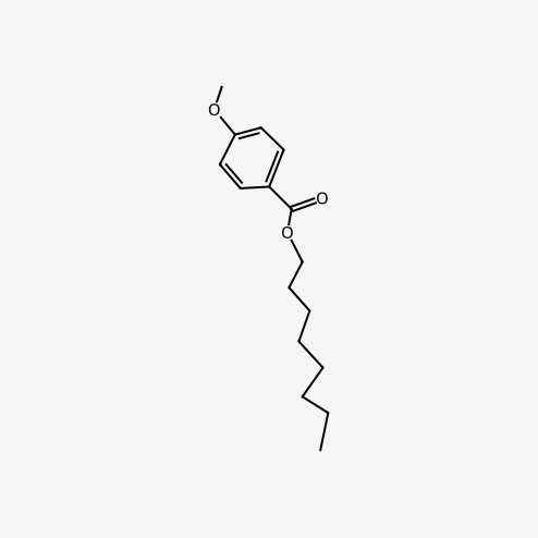 CCCCCCCCOC(=O)c1ccc(OC)cc1